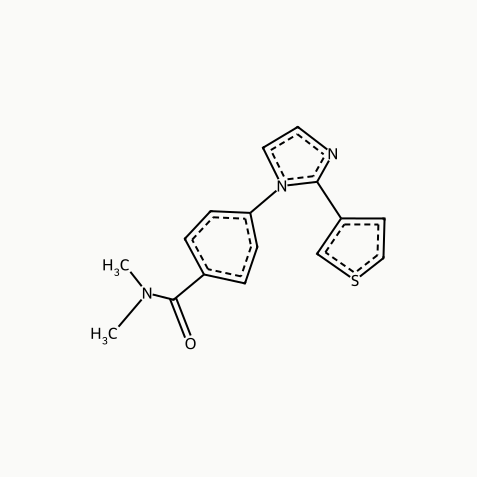 CN(C)C(=O)c1ccc(-n2ccnc2-c2ccsc2)cc1